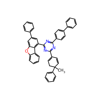 CC1(c2ccccc2)C=CC(c2nc(-c3ccc(-c4ccccc4)cc3)nc(-c3cc(-c4ccccc4)cc4oc5ccccc5c34)n2)=CC1